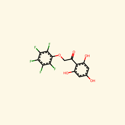 O=C(COc1c(F)c(F)c(F)c(F)c1F)c1c(O)cc(O)cc1O